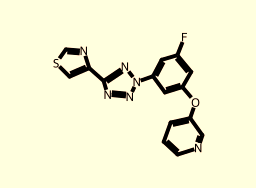 Fc1cc(Oc2cccnc2)cc(-n2nnc(-c3cscn3)n2)c1